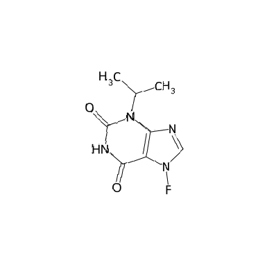 CC(C)n1c(=O)[nH]c(=O)c2c1ncn2F